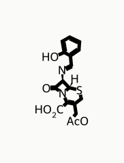 CC(=O)OCC1=C(C(=O)O)N2C(=O)[C@@H](N=Cc3ccccc3O)[C@H]2SC1